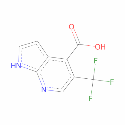 O=C(O)c1c(C(F)(F)F)cnc2[nH]ccc12